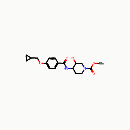 CC(C)(C)OC(=O)N1CCC(NC(=O)c2ccc(OCC3CC3)cc2)C(O)C1